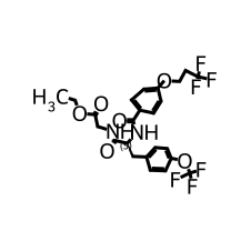 CCOC(=O)CNC(=O)[C@H](Cc1ccc(OC(F)(F)F)cc1)NC(=O)c1ccc(OCCC(F)(F)F)cc1